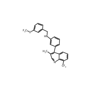 Cc1cnc2c(C(F)(F)F)cccc2c1-c1cccc(NCc2cccc(OC(F)(F)F)c2)c1